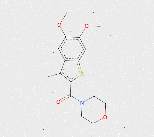 COc1cc2sc(C(=O)N3CCOCC3)c(C)c2cc1OC